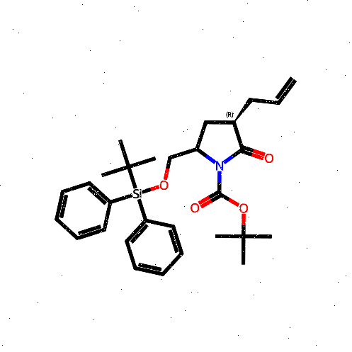 C=CC[C@@H]1CC(CO[Si](c2ccccc2)(c2ccccc2)C(C)(C)C)N(C(=O)OC(C)(C)C)C1=O